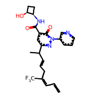 C=C/C=C(\CC=CC(C)c1cc(C(=O)N[C@@H]2CC[C@@H]2O)c(=O)n(-c2cccnc2)n1)C(F)(F)F